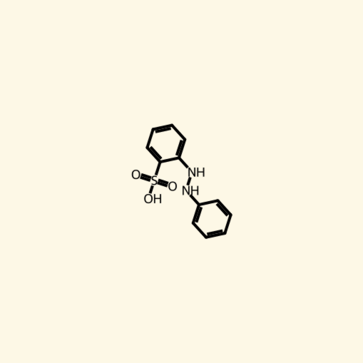 O=S(=O)(O)c1ccccc1NNc1ccccc1